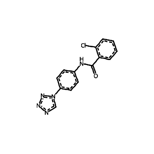 O=C(Nc1ccc(-n2cnnn2)cc1)c1ccccc1Cl